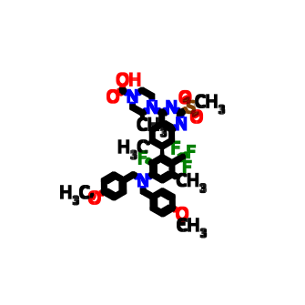 COc1ccc(CN(Cc2ccc(OC)cc2)c2cc(C)c(C(F)(F)F)c([C@@H]3Cc4nc(S(C)(=O)=O)nc(N5CCN(C(=O)O)C[C@@H]5C)c4C[C@H]3C)c2F)cc1